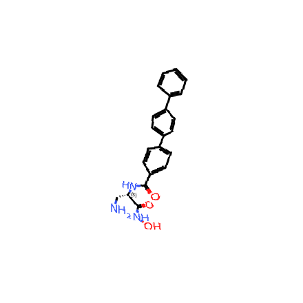 NC[C@H](NC(=O)c1ccc(-c2ccc(-c3ccccc3)cc2)cc1)C(=O)NO